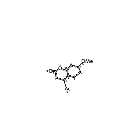 COc1ccc2c(C(C)=O)cc(=O)oc2c1